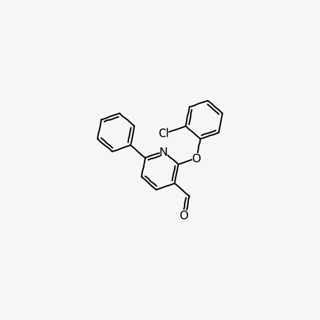 O=Cc1ccc(-c2ccccc2)nc1Oc1ccccc1Cl